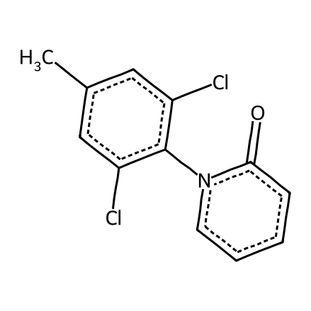 Cc1cc(Cl)c(-n2ccccc2=O)c(Cl)c1